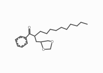 CCCCCCCCCCC(CC1COCO1)C(=O)c1ccccc1